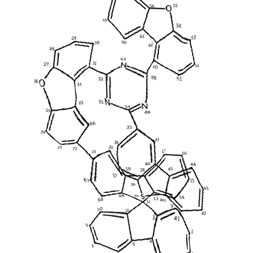 c1ccc2c(c1)-c1ccccc1C21c2ccccc2-c2cc(-c3ccc4oc5cccc(-c6nc(-c7ccc8sc9ccccc9c8c7)nc(-c7cccc8oc9ccccc9c78)n6)c5c4c3)ccc21